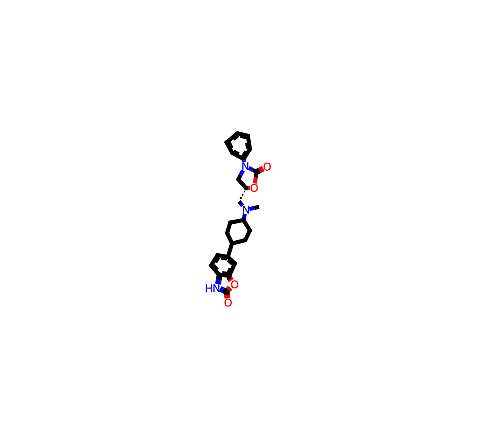 CN(C[C@@H]1CN(c2ccccc2)C(=O)O1)C1CCC(c2ccc3[nH]c(=O)oc3c2)CC1